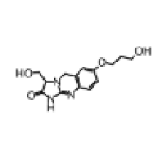 O=C1NC2=Nc3ccc(OCCCO)cc3CN2C1CO